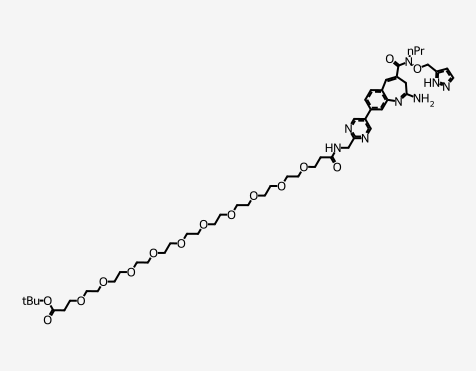 CCCN(OCc1ccn[nH]1)C(=O)C1=Cc2ccc(-c3cnc(CNC(=O)CCOCCOCCOCCOCCOCCOCCOCCOCCOCCOCCC(=O)OC(C)(C)C)nc3)cc2N=C(N)C1